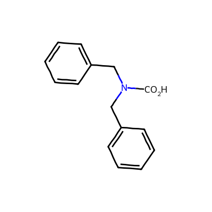 O=C(O)N(Cc1ccccc1)Cc1ccccc1